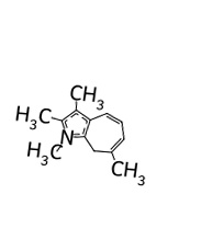 CC1=CC=Cc2c(C)c(C)n(C)c2C1